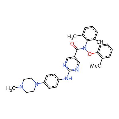 COc1ccccc1ON(C(=O)c1cnc(Nc2ccc(N3CCN(C)CC3)cc2)nc1)c1c(C)cccc1C